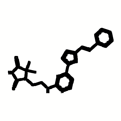 CC1(C)C(=O)NC(=O)N1CCNc1nccc(-c2ccc(C=Cc3ccccc3)s2)n1